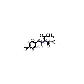 COC(=O)/C(C(C)=O)=C(\N)Cc1ccc(Cl)cc1